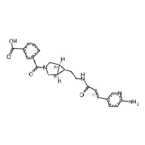 Nc1ccc(/C=C/C(=O)NCCC2[C@H]3CN(C(=O)c4cccc(C(=O)O)c4)C[C@@H]23)cn1